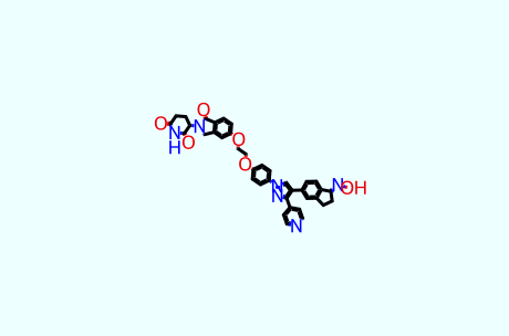 O=C1CCC(N2Cc3cc(OCCOc4ccc(-n5cc(-c6ccc7c(c6)CC/C7=N\O)c(-c6ccncc6)n5)cc4)ccc3C2=O)C(=O)N1